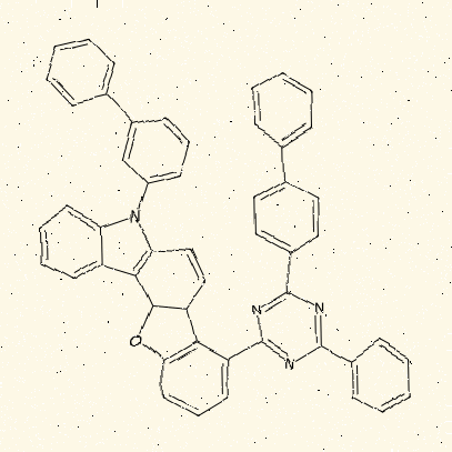 C1=CC2c3c(cccc3-c3nc(-c4ccccc4)nc(-c4ccc(-c5ccccc5)cc4)n3)OC2c2c1n(-c1cccc(-c3ccccc3)c1)c1ccccc21